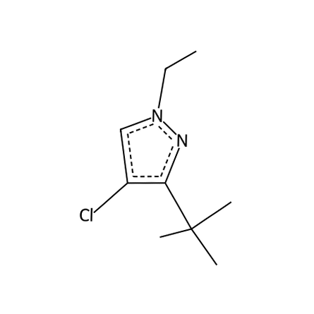 CCn1cc(Cl)c(C(C)(C)C)n1